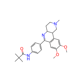 COc1cc2c(cc1OC)C1CN(C)CCC1N=C2c1ccc(NC(=O)C(C)(C)C)cc1